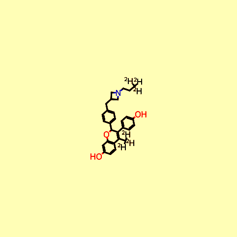 [2H]C([2H])([2H])CCN1CC(Cc2ccc(C3Oc4cc(O)ccc4C(C([2H])([2H])[2H])=C3c3ccc(O)cc3)cc2)C1